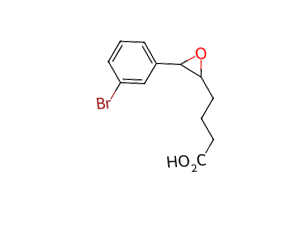 O=C(O)CCCC1OC1c1cccc(Br)c1